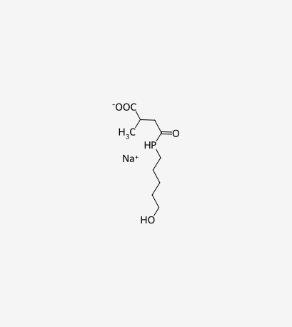 CC(CC(=O)PCCCCCO)C(=O)[O-].[Na+]